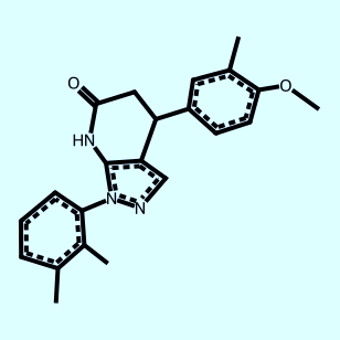 COc1ccc(C2CC(=O)Nc3c2cnn3-c2cccc(C)c2C)cc1C